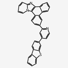 c1ccc2c(c1)sc1cc(-c3ccnc(-c4ccc5c(c4)c4ccccc4c4nc6ccccn6c54)c3)ccc12